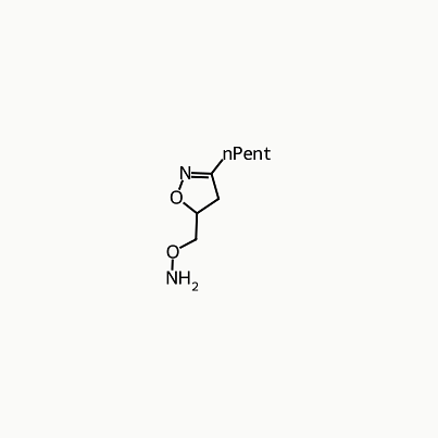 CCCCCC1=NOC(CON)C1